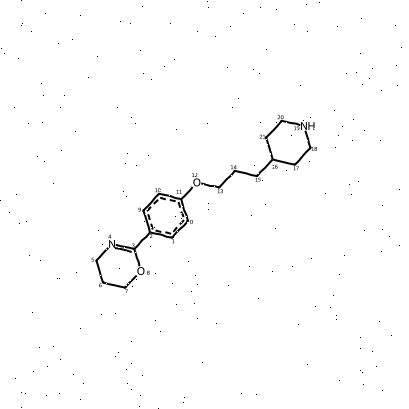 c1cc(C2=NCCCO2)ccc1OCCCC1CCNCC1